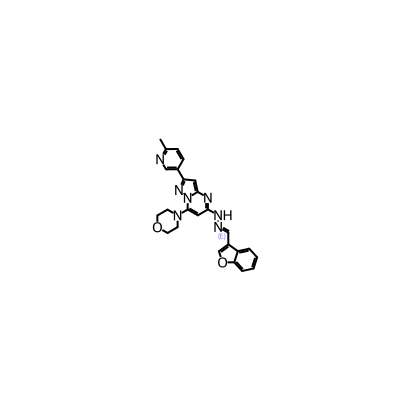 Cc1ccc(-c2cc3nc(N/N=C/c4coc5ccccc45)cc(N4CCOCC4)n3n2)cn1